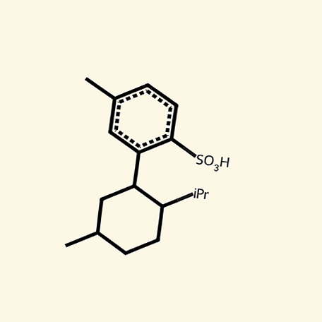 Cc1ccc(S(=O)(=O)O)c(C2CC(C)CCC2C(C)C)c1